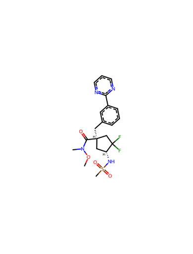 CON(C)C(=O)[C@]1(Cc2cccc(-c3ncccn3)c2)C[C@@H](NS(C)(=O)=O)C(F)(F)C1